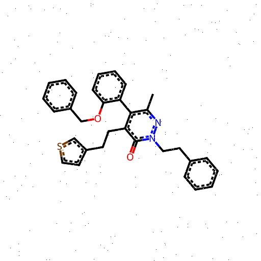 Cc1nn(CCc2ccccc2)c(=O)c(CCc2ccsc2)c1-c1ccccc1OCc1ccccc1